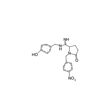 N=C(NCc1ccc(O)cc1)C1CCC(=O)N1Cc1ccc([N+](=O)[O-])cc1